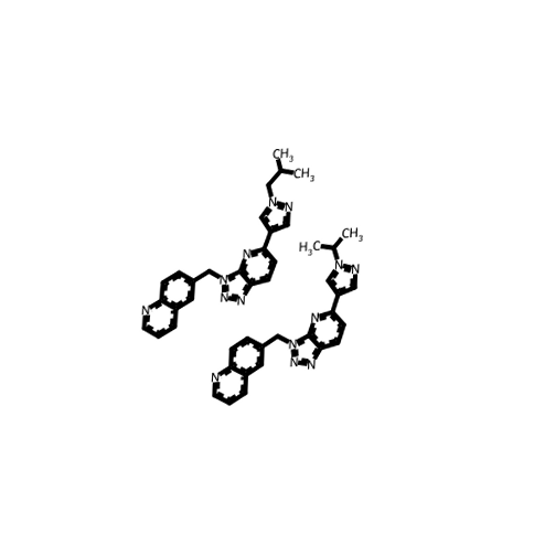 CC(C)Cn1cc(-c2ccc3nnn(Cc4ccc5ncccc5c4)c3n2)cn1.CC(C)n1cc(-c2ccc3nnn(Cc4ccc5ncccc5c4)c3n2)cn1